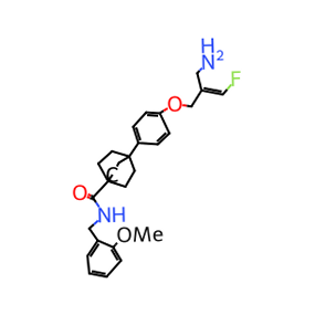 COc1ccccc1CNC(=O)C12CCC(c3ccc(OCC(=CF)CN)cc3)(CC1)CC2